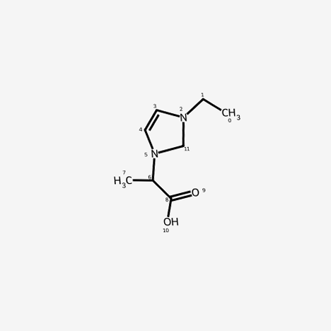 CCN1C=CN(C(C)C(=O)O)C1